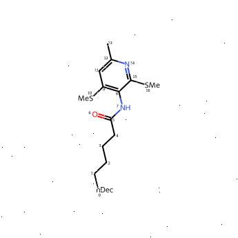 CCCCCCCCCCCCCCC(=O)Nc1c(SC)cc(C)nc1SC